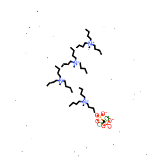 CCCC[N+](C)(CCCC)CCCC.CCCC[N+](C)(CCCC)CCCC.CCCC[N+](C)(CCCC)CCCC.CCCC[N+](C)(CCCC)CCCC.O=P([O-])([O-])C(Cl)(Cl)P(=O)([O-])[O-]